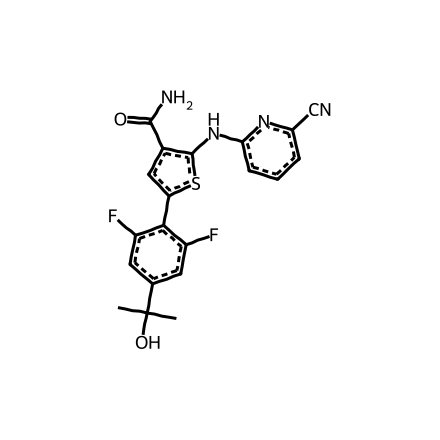 CC(C)(O)c1cc(F)c(-c2cc(C(N)=O)c(Nc3cccc(C#N)n3)s2)c(F)c1